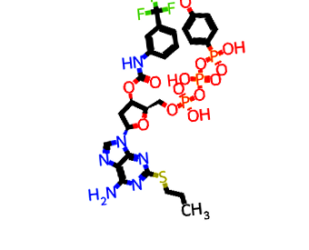 CCCSc1nc(N)c2ncn([C@H]3C[C@@H](OC(=O)Nc4cccc(C(F)(F)F)c4)[C@@H](COP(=O)(O)OP(=O)(O)OP(=O)(O)c4ccc(OC)cc4)O3)c2n1